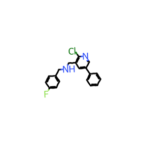 Fc1ccc(CNCc2cc(-c3ccccc3)cnc2Cl)cc1